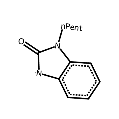 CCCCCN1C(=O)[N]c2ccccc21